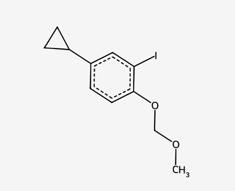 COCOc1ccc(C2CC2)cc1I